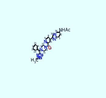 CC(=O)Nc1ccc2nc(-c3ccnc(C(=O)N4CCN(C(c5ccccc5)c5nnn(C)n5)CC4)c3)cn2c1